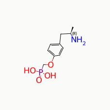 C[C@@H](N)Cc1ccc(OCP(=O)(O)O)cc1